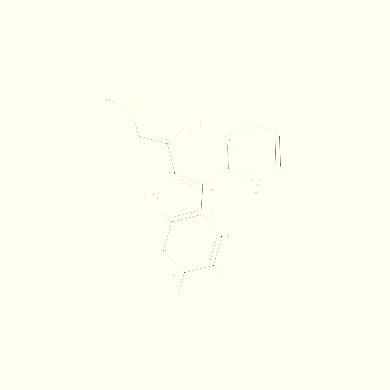 C[S+]([O-])CC(O)c1[nH]c2cc(Br)c(Cl)cc2c1-c1ncccn1